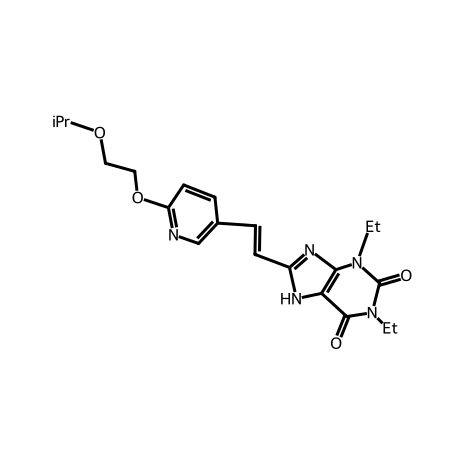 CCn1c(=O)c2[nH]c(/C=C/c3ccc(OCCOC(C)C)nc3)nc2n(CC)c1=O